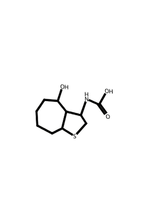 O=C(O)NC1CSC2CCCCC(O)C12